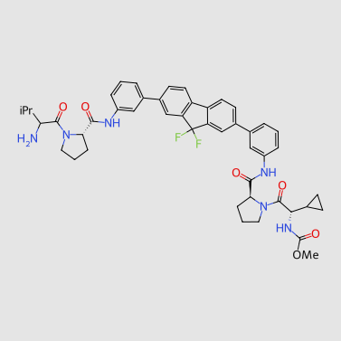 COC(=O)N[C@H](C(=O)N1CCC[C@H]1C(=O)Nc1cccc(-c2ccc3c(c2)C(F)(F)c2cc(-c4cccc(NC(=O)[C@@H]5CCCN5C(=O)C(N)C(C)C)c4)ccc2-3)c1)C1CC1